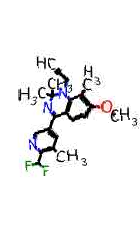 C#CCN1c2c(ccc(OC)c2C)C(c2cnc(C(F)F)c(C)c2)=NC1(C)C